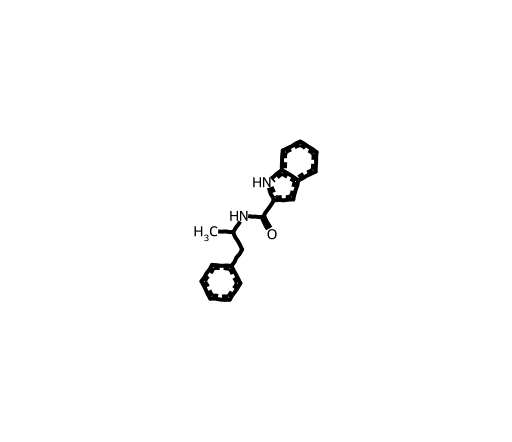 CC(Cc1ccccc1)NC(=O)c1cc2ccccc2[nH]1